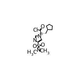 CN(C)S(=O)(=O)c1cn([C@@H](CC2CCCC2)C(=O)Cl)cn1